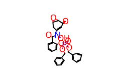 O=C1C=C(N(O)C(=O)c2ccccc2OP(=O)(OCc2ccccc2)OCc2ccccc2)CC2OC12